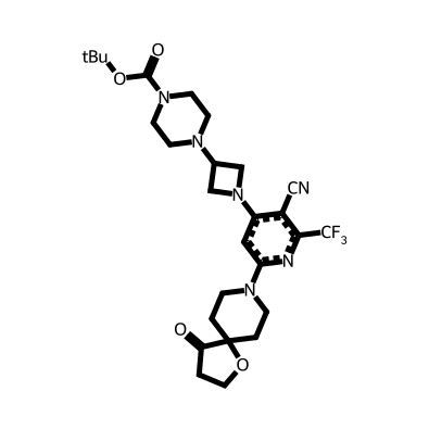 CC(C)(C)OC(=O)N1CCN(C2CN(c3cc(N4CCC5(CC4)OCCC5=O)nc(C(F)(F)F)c3C#N)C2)CC1